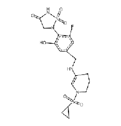 O=C1CN(c2c(O)cc(CNC3=CN(S(=O)(=O)C4CC4)CCC3)cc2F)S(=O)(=O)N1